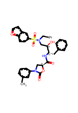 Cc1cccc(N2C[C@@H](C(=O)N[C@@H](Cc3ccccc3)[C@H](O)CN(CC(C)C)S(=O)(=O)c3ccc4occc4c3)OC2=O)c1